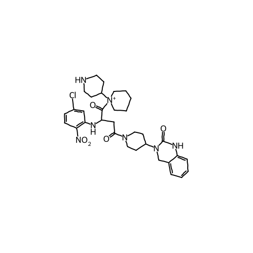 O=C(CC(Nc1cc(Cl)ccc1[N+](=O)[O-])C(=O)[N+]1(C2CCNCC2)CCCCC1)N1CCC(N2Cc3ccccc3NC2=O)CC1